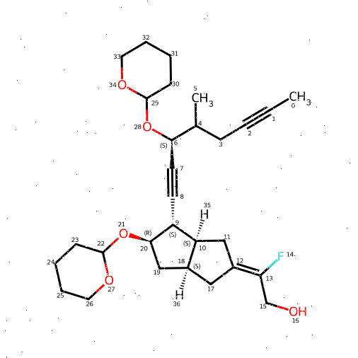 CC#CCC(C)[C@@H](C#C[C@@H]1[C@H]2CC(=C(F)CO)C[C@H]2C[C@H]1OC1CCCCO1)OC1CCCCO1